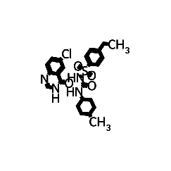 CCc1ccc(S(=O)(=O)NC(=O)NC2CCC(C)CC2)cc1.O=c1[nH]cnc2ccc(Cl)cc12